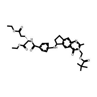 CCOC(=O)CC[C@H](NC(=O)c1ccc(NC2CCc3cc4nc(C)n(COC(=O)C(C)(C)C)c(=O)c4cc32)cc1)C(=O)OCC